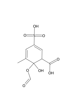 CC1=CC(S(=O)(=O)O)=CC(C(=O)O)C1(O)OC=O